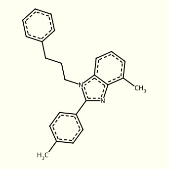 Cc1ccc(-c2nc3c(C)cccc3n2CCCc2ccccc2)cc1